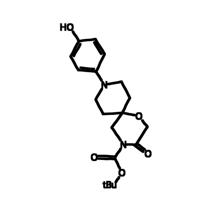 CC(C)(C)OC(=O)N1CC2(CCN(c3ccc(O)cc3)CC2)OCC1=O